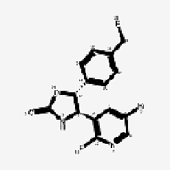 O=C1N[C@H](c2cc(Br)cnc2F)[C@@H](c2ccc(CF)cc2)O1